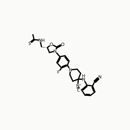 [C-]#[N+]C1(Nc2ccccc2C#N)CCN(c2ccc(N3C[C@H](CNC(C)=S)OC3=O)cc2F)CC1